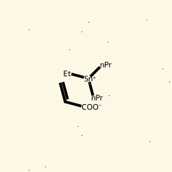 C=CC(=O)[O-].CC[CH2][Sn+]([CH2]C)[CH2]CC